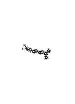 N#CC1NN=C(c2ccc(-c3ccc4cc(-c5ccc6cc(-c7cc(-c8ccccc8)nc(-c8ccccc8)n7)ccc6c5)ccc4c3)cc2)O1